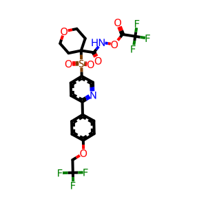 O=C(ONC(=O)C1(S(=O)(=O)c2ccc(-c3ccc(OCC(F)(F)F)cc3)nc2)CCOCC1)C(F)(F)F